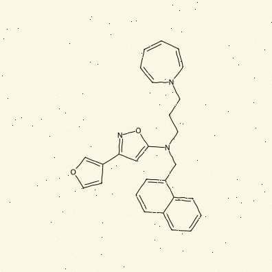 C1=CC=CN(CCCN(Cc2cccc3ccccc23)c2cc(-c3ccoc3)no2)C=C1